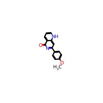 COc1ccc(-c2cc3[nH]cccc-3c(=O)n2)cc1